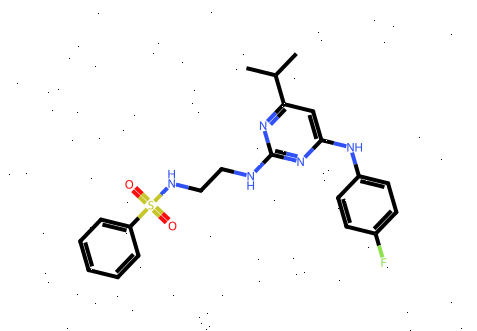 CC(C)c1cc(Nc2ccc(F)cc2)nc(NCCNS(=O)(=O)c2ccccc2)n1